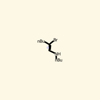 CCCCN/C=C(\Br)CCCC